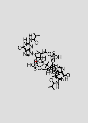 CC(C)C(=O)Nc1nc2c(ncn2[C@@H]2S[C@@H]3COP(O)(=S)O[C@@H]4[C@H](O[Si](C)(C)C(C)(C)C)[C@@H](COP(O)(=S)O[C@@H]2[C@@H]3O[Si](C)(C)C(C)(C)C)S[C@H]4n2cnc3c(=O)[nH]c(NC(=O)C(C)C)nc32)c(=O)[nH]1